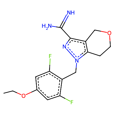 CCOc1cc(F)c(Cn2nc(C(=N)N)c3c2CCOC3)c(F)c1